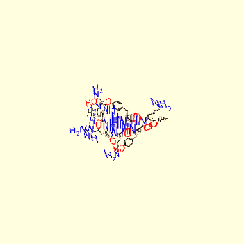 CC(C)C(=O)[C@H](CCCCN)NC(=O)[C@H](Cc1ccc(O)cc1)NC(=O)[C@H](Cc1ccccc1)NC(=O)[C@H](CCCCN)NC(=O)[C@H](CCCNC(=N)N)NC(=O)[C@H](C)NC(=O)[C@@H](N)CC(N)O